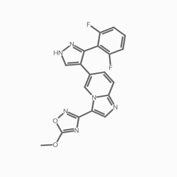 COc1nc(-c2cnc3ccc(-c4c[nH]nc4-c4c(F)cccc4F)cn23)no1